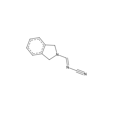 N#CN=CN1Cc2ccccc2C1